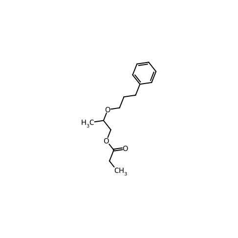 CCC(=O)OCC(C)OCCCc1ccccc1